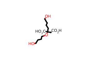 O=C(O)CC(CCCCO)(OCCCCO)C(=O)O